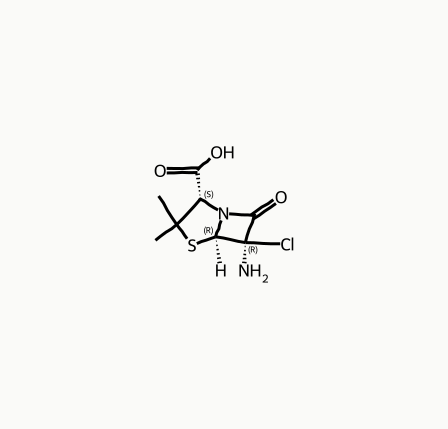 CC1(C)S[C@H]2N(C(=O)[C@@]2(N)Cl)[C@H]1C(=O)O